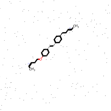 C/C=C\CCO[C@H]1CC[C@H](CC[C@H]2CC[C@H](CC/C=C/C)CC2)CC1